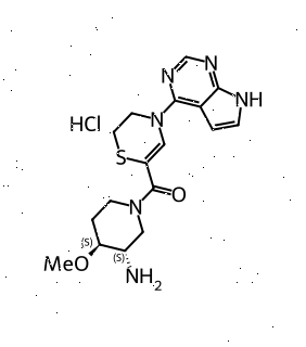 CO[C@H]1CCN(C(=O)C2=CN(c3ncnc4[nH]ccc34)CCS2)C[C@@H]1N.Cl